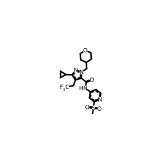 CS(=O)(=O)c1cc(NC(=O)c2c(CC(F)(F)F)c(C3CC3)nn2CC2CCOCC2)ccn1